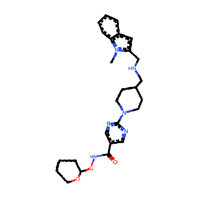 Cn1c(CNCC2CCN(c3ncc(C(=O)NOC4CCCCO4)cn3)CC2)cc2ccccc21